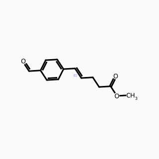 COC(=O)CC/C=C/c1ccc(C=O)cc1